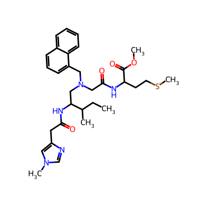 CCC(C)C(CN(CC(=O)NC(CCSC)C(=O)OC)Cc1cccc2ccccc12)NC(=O)Cc1cn(C)cn1